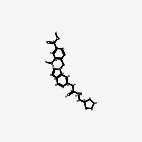 COC(=O)c1ccc(Cn2ccc3ccc(CC(=O)NCC4CCCC4)cc32)c(OC)c1